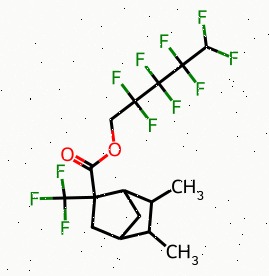 CC1C2CC(C1C)C(C(=O)OCC(F)(F)C(F)(F)C(F)(F)C(F)F)(C(F)(F)F)C2